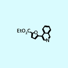 CCOC(=O)c1ccc(-c2cncc3ccccc23)o1